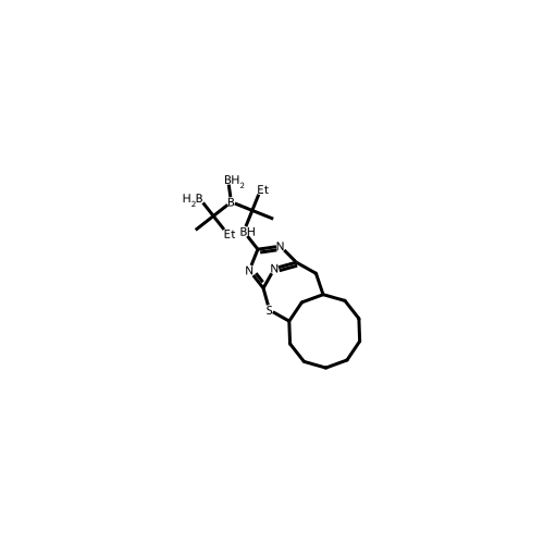 BB(C(B)(C)CC)C(C)(Bc1nc2nc(n1)SC1CCCCCCCC(C2)C1)CC